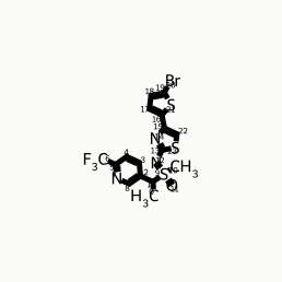 CC(c1ccc(C(F)(F)F)nc1)S(C)(=O)=Nc1nc(-c2ccc(Br)s2)cs1